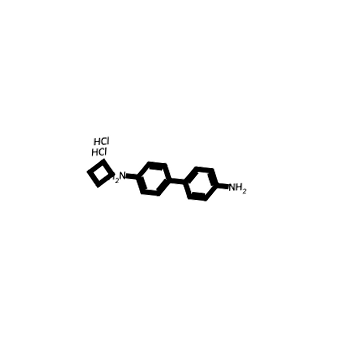 C1CCC1.Cl.Cl.Nc1ccc(-c2ccc(N)cc2)cc1